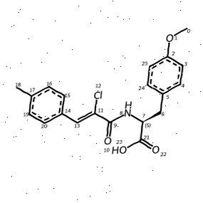 COc1ccc(C[C@H](NC(=O)C(Cl)=Cc2ccc(C)cc2)C(=O)O)cc1